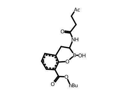 CCCCOC(=O)c1cccc2c1OB(O)C(NC(=O)CCC(C)=O)C2